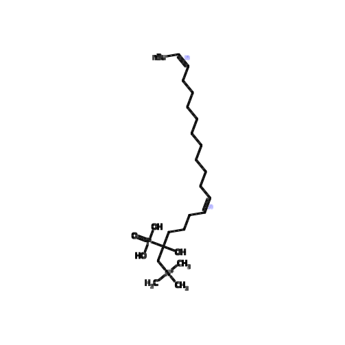 CCCC/C=C\CCCCCCCCC/C=C\CCCC(O)(C[N+](C)(C)C)P(=O)(O)O